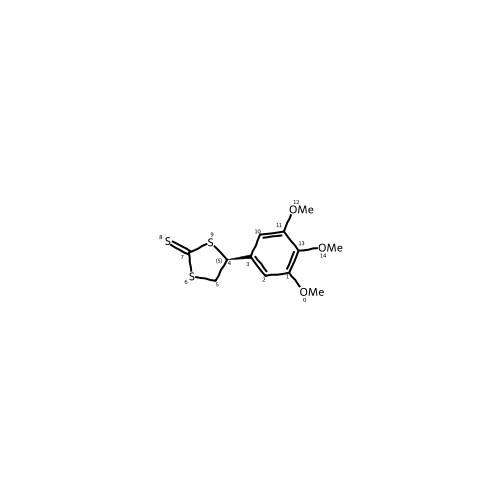 COc1cc([C@H]2CSC(=S)S2)cc(OC)c1OC